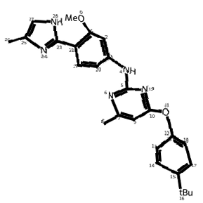 COc1cc(Nc2nc(C)cc(Oc3ccc(C(C)(C)C)cc3)n2)ccc1-c1nc(C)c[nH]1